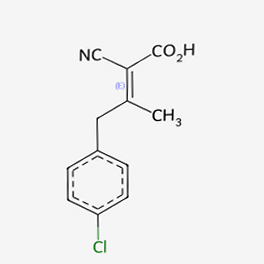 C/C(Cc1ccc(Cl)cc1)=C(/C#N)C(=O)O